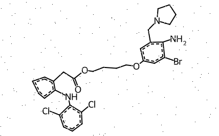 Nc1c(Br)cc(OCCCCOC(=O)Cc2ccccc2Nc2c(Cl)cccc2Cl)cc1CN1CCCC1